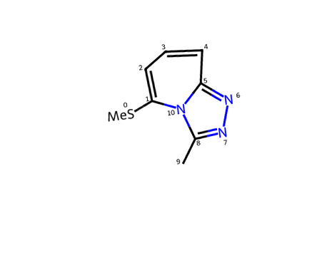 CSc1cccc2nnc(C)n12